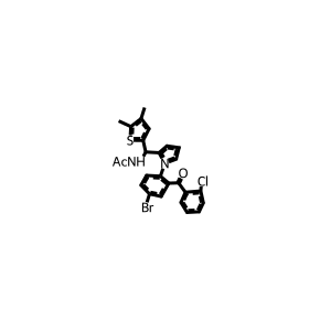 CC(=O)NC(c1cc(C)c(C)s1)c1cccn1-c1ccc(Br)cc1C(=O)c1ccccc1Cl